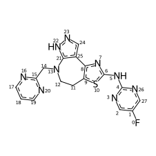 Fc1cnc(Nc2nc3c(s2)CCN(Cc2ncccn2)c2[nH]ncc2-3)nc1